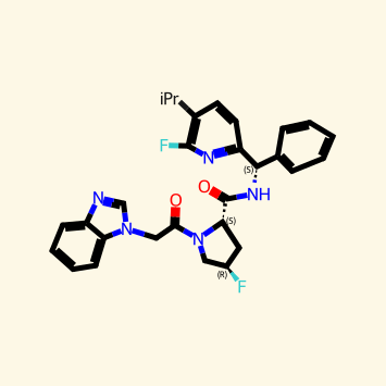 CC(C)c1ccc([C@@H](NC(=O)[C@@H]2C[C@@H](F)CN2C(=O)Cn2cnc3ccccc32)c2ccccc2)nc1F